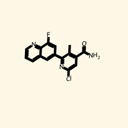 Cc1c(C(N)=O)cc(Cl)nc1-c1cc(F)c2ncccc2c1